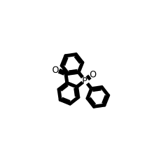 O=Cc1ccccc1P(=O)(c1ccccc1)c1ccccc1